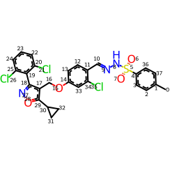 Cc1ccc(S(=O)(=O)N/N=C/c2ccc(OCc3c(-c4c(Cl)cccc4Cl)noc3C3CC3)cc2Cl)cc1